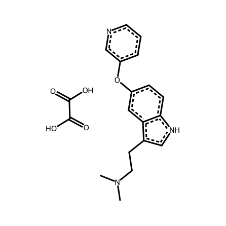 CN(C)CCc1c[nH]c2ccc(Oc3cccnc3)cc12.O=C(O)C(=O)O